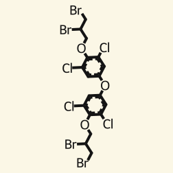 Clc1cc(Oc2cc(Cl)c(OCC(Br)CBr)c(Cl)c2)cc(Cl)c1OCC(Br)CBr